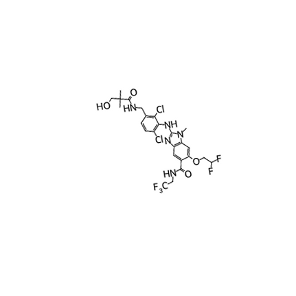 Cn1c(Nc2c(Cl)ccc(CNC(=O)C(C)(C)CO)c2Cl)nc2cc(C(=O)NCC(F)(F)F)c(OCC(F)F)cc21